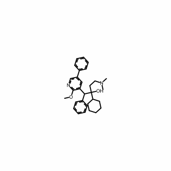 COc1ncc(-c2ccccc2)cc1C(c1ccccc1)C(O)(CCN(C)C)C1CCCCC1